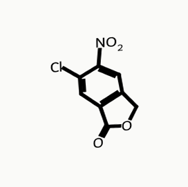 O=C1OCc2cc([N+](=O)[O-])c(Cl)cc21